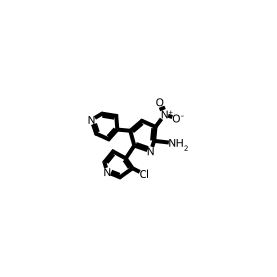 Nc1nc(-c2ccncc2Cl)c(-c2ccncc2)cc1[N+](=O)[O-]